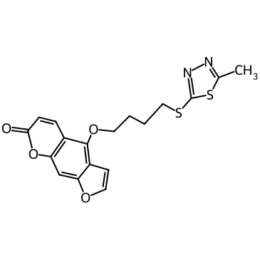 Cc1nnc(SCCCCOc2c3ccoc3cc3oc(=O)ccc23)s1